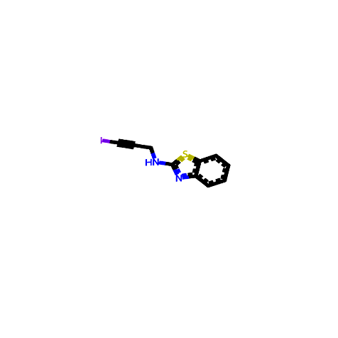 IC#CCNc1nc2ccccc2s1